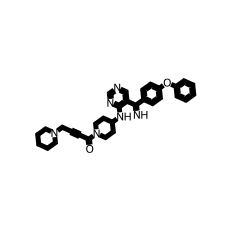 N=C(c1ccc(Oc2ccccc2)cc1)c1cncnc1NC1CCN(C(=O)C#CCN2CCCCC2)CC1